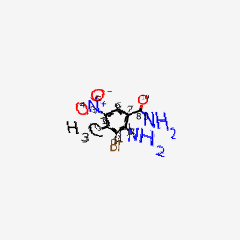 Cc1c([N+](=O)[O-])cc(C(N)=O)c(N)c1Br